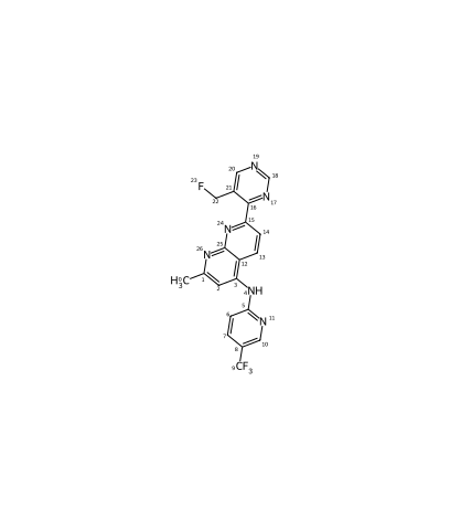 Cc1cc(Nc2ccc(C(F)(F)F)cn2)c2ccc(-c3ncncc3CF)nc2n1